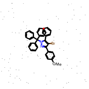 COc1ccc(-c2nn(C(c3ccccc3)(c3ccccc3)c3ccccc3)c(-c3ccccc3)c2Br)cc1